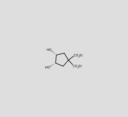 CCOC(=O)C1(C(=O)OCC)C[C@@H](O)[C@@H](O)C1